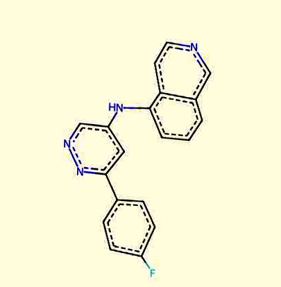 Fc1ccc(-c2cc(Nc3cccc4cnccc34)cnn2)cc1